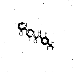 C[C@@H]1CN(c2ncccc2Cl)CCN1C(=O)Nc1ccc(C(F)(F)F)cc1F